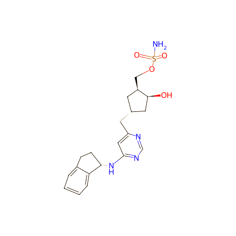 NS(=O)(=O)OC[C@@H]1C[C@@H](Cc2cc(N[C@H]3CCc4ccccc43)ncn2)C[C@@H]1O